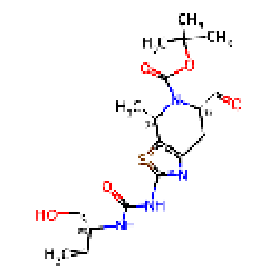 C=C[C@H](CO)NC(=O)Nc1nc2c(s1)[C@H](C)N(C(=O)OC(C)(C)C)[C@H](C=O)C2